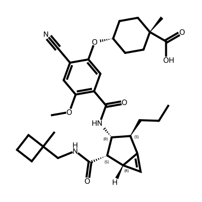 CCC[C@H]1C2=C[C@@H]2[C@H](C(=O)NCC2(C)CCC2)[C@@H]1NC(=O)c1cc(O[C@H]2CC[C@@](C)(C(=O)O)CC2)c(C#N)cc1OC